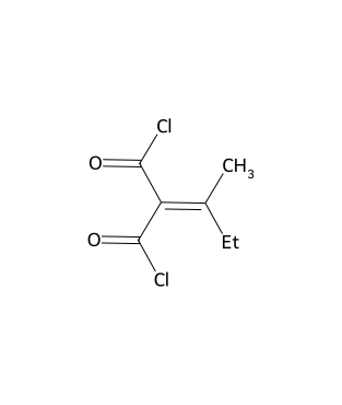 CCC(C)=C(C(=O)Cl)C(=O)Cl